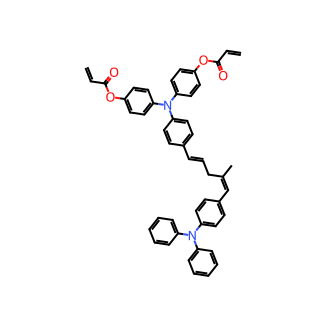 C=CC(=O)Oc1ccc(N(c2ccc(/C=C/C/C(C)=C\c3ccc(N(c4ccccc4)c4ccccc4)cc3)cc2)c2ccc(OC(=O)C=C)cc2)cc1